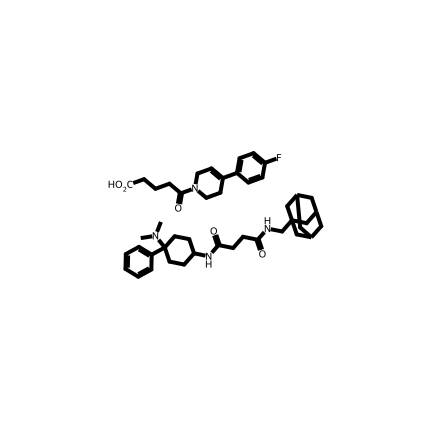 CN(C)C1(c2ccccc2)CCC(NC(=O)CCC(=O)NCC23CC4CC(CC(C4)C2)C3)CC1.O=C(O)CCCC(=O)N1CC=C(c2ccc(F)cc2)CC1